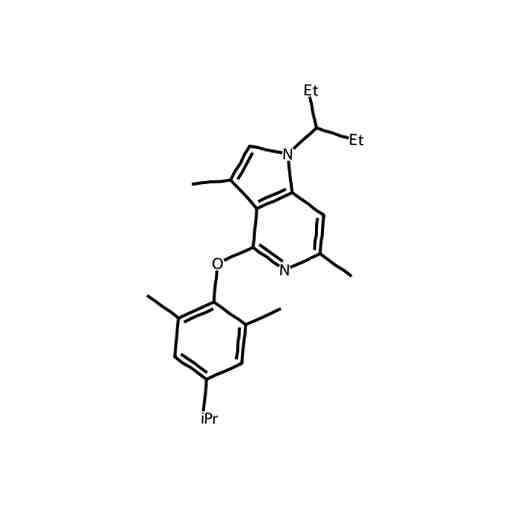 CCC(CC)n1cc(C)c2c(Oc3c(C)cc(C(C)C)cc3C)nc(C)cc21